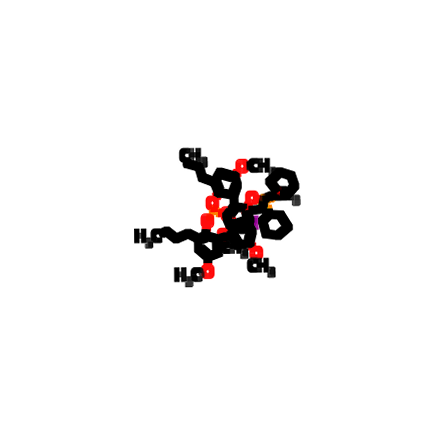 CCCCc1cc(OC)cc(-c2cc(OC)cc(I)c2OP(C2CCCCC2)C2CCCCC2)c1Op1oc2c(CCCC)cc(OC)cc2c2cc(OC)cc(CCCC)c2o1